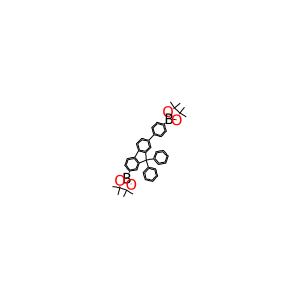 CC1(C)OB(c2ccc(-c3ccc4c(c3)C(c3ccccc3)(c3ccccc3)c3cc(B5OC(C)(C)C(C)(C)O5)ccc3-4)cc2)OC1(C)C